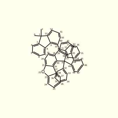 CC1(C)c2ccccc2-c2c(N(c3ccccc3)c3ccc4oc5ccccc5c4c3C3(c4ccccc4)c4ccccc4-c4ccccc43)cccc21